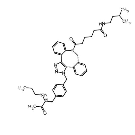 CCCN[C@@H](Cc1ccc(Cn2nnc3c2-c2ccccc2CN(C(=O)CCCCC(=O)NCCC(C)C)c2ccccc2-3)cc1)C(C)=O